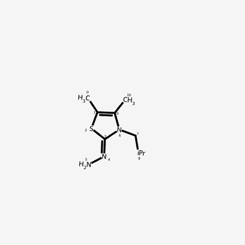 Cc1sc(=NN)n(CC(C)C)c1C